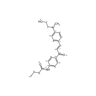 CN(CCO)c1ccc(/C=C/C(=O)c2ccc(NC(=O)CCI)cc2)cc1